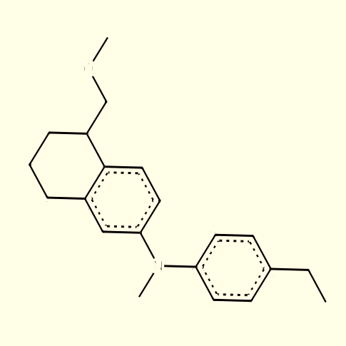 CCc1ccc(N(C)c2ccc3c(c2)CCCC3COC)cc1